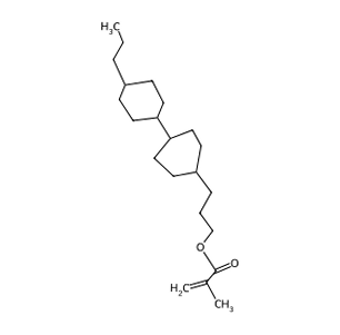 C=C(C)C(=O)OCCCC1CCC(C2CCC(CCC)CC2)CC1